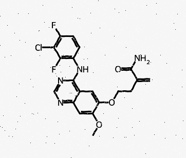 C=C(CCOc1cc2c(Nc3ccc(F)c(Cl)c3F)ncnc2cc1OC)C(N)=O